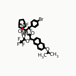 CC(C)Oc1ccc2cc([C@@H](OC(=O)C(F)(F)F)C(=O)N[C@@H](C(=O)N3C4CCC3CC(N)C4)C(F)(F)c3ccc(Br)cc3)ccc2c1